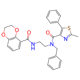 Cc1nc(C(=O)N(CCNC(=O)c2cccc3c2OCCO3)Cc2ccccc2)c(-c2ccccc2)s1